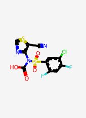 N#Cc1scnc1N(C(=O)O)S(=O)(=O)c1cc(Cl)c(F)cc1F